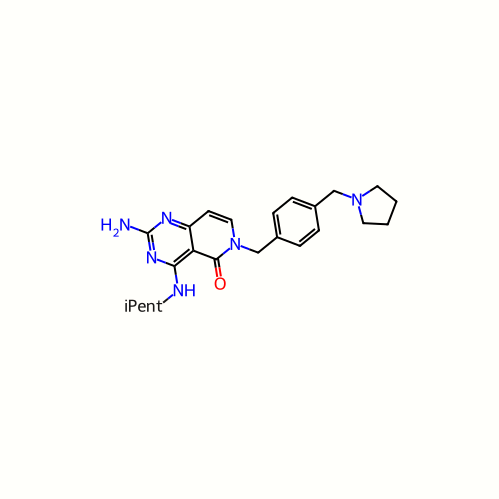 CCCC(C)Nc1nc(N)nc2ccn(Cc3ccc(CN4CCCC4)cc3)c(=O)c12